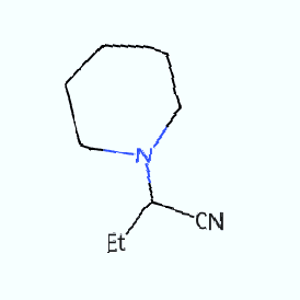 CCC(C#N)N1CCCCC1